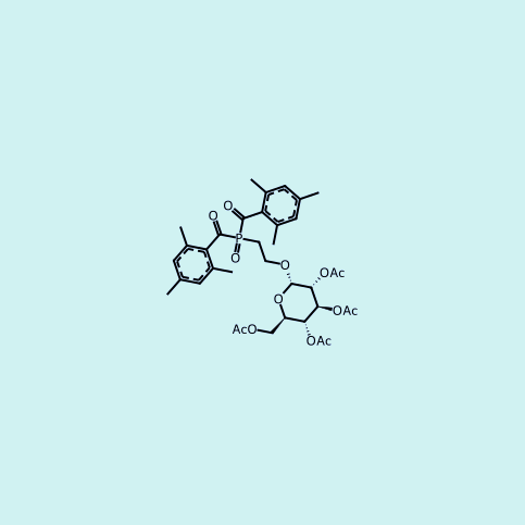 CC(=O)OC[C@H]1O[C@H](OCCP(=O)(C(=O)c2c(C)cc(C)cc2C)C(=O)c2c(C)cc(C)cc2C)[C@H](OC(C)=O)[C@@H](OC(C)=O)[C@@H]1OC(C)=O